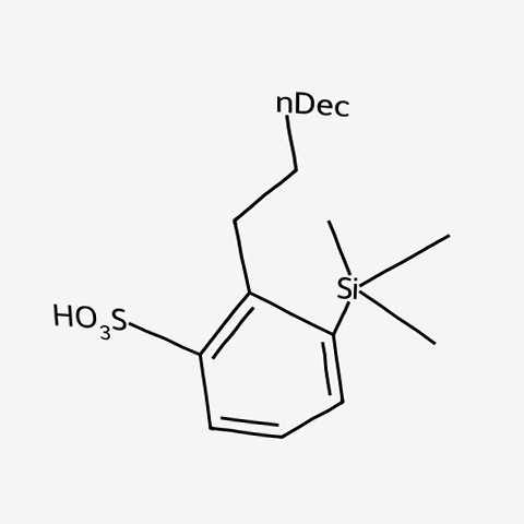 CCCCCCCCCCCCc1c([Si](C)(C)C)cccc1S(=O)(=O)O